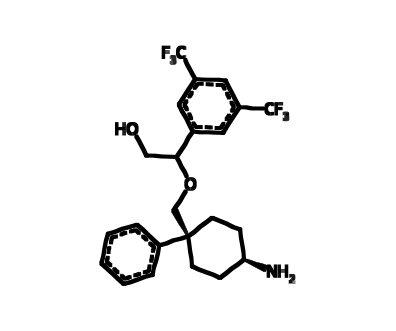 N[C@H]1CC[C@](COC(CO)c2cc(C(F)(F)F)cc(C(F)(F)F)c2)(c2ccccc2)CC1